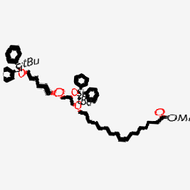 COC(=O)CCCCCC/C=C\CCCCCCCCOCC(COCCCCCCO[Si](c1ccccc1)(c1ccccc1)C(C)(C)C)O[Si](c1ccccc1)(c1ccccc1)C(C)(C)C